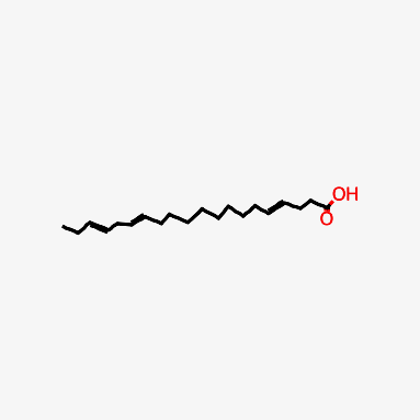 CC/C=C/C/C=C/CCCCCCCC/C=C/CCC(=O)O